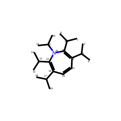 CC(C)C1=C(C(C)C)N(C(C)C)C(C(C)C)=C(C(C)C)C=C1